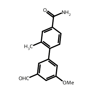 COc1cc(C=O)cc(-c2ccc(C(N)=O)cc2C)c1